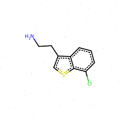 NCCc1csc2c(Cl)cccc12